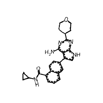 Nc1nc(C2CCOCC2)nc2[nH]cc(-c3ccc4c(C(=O)NC5CC5)cccc4c3)c12